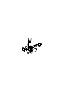 N#CCc1cc(OCc2ccccc2)c(C(=O)O)cc1OCc1ccccc1